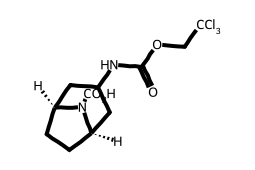 O=C(NC1C[C@H]2CC[C@@H](C1)N2C(=O)O)OCC(Cl)(Cl)Cl